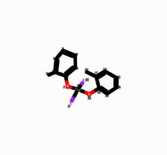 Cc1ccccc1[O][Zr]([I])([I])[O]c1ccccc1C